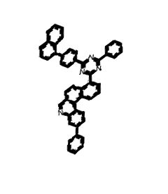 c1ccc(-c2ccc3c(c2)ncc2ccc4c(-c5nc(-c6ccccc6)nc(-c6ccc(-c7cccc8ccccc78)cc6)n5)cccc4c23)cc1